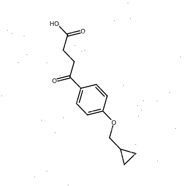 O=C(O)CCC(=O)c1ccc(OCC2CC2)cc1